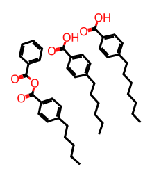 CCCCCCCc1ccc(C(=O)O)cc1.CCCCCCc1ccc(C(=O)O)cc1.CCCCCc1ccc(C(=O)OC(=O)c2ccccc2)cc1